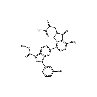 C=C(CN1Cc2c(-c3ccc4c(c3)c(-c3cccc(N)c3)nn4C(=O)OC(C)(C)C)ccc(N)c2C1=O)C(N)=O